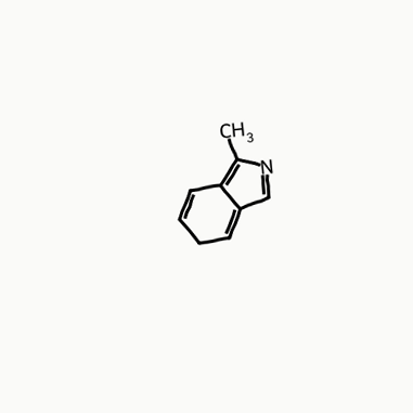 CC1=C2C=CCC=C2C=N1